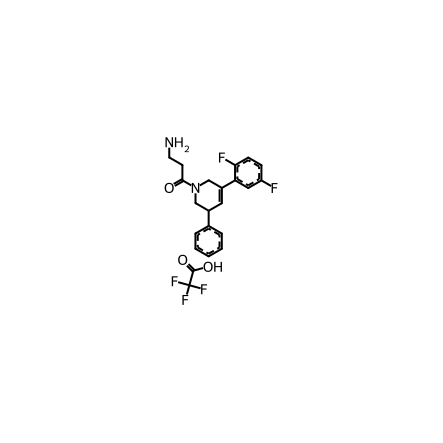 NCCC(=O)N1CC(c2cc(F)ccc2F)=CC(c2ccccc2)C1.O=C(O)C(F)(F)F